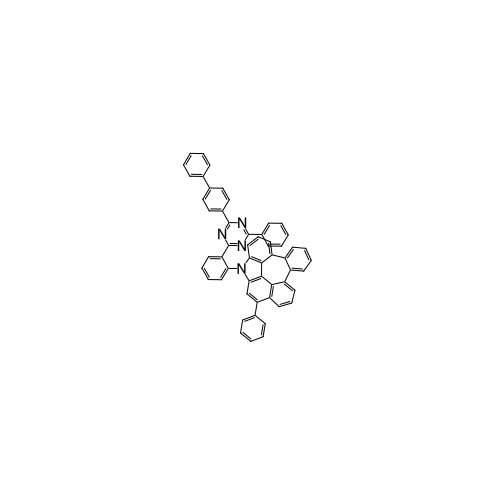 c1ccc(-c2ccc(-c3nc(-c4ccccc4)nc(-c4ccccc4-n4c5cccc6c5c5c7c(cccc7c(-c7ccccc7)cc54)-c4ccccc4-6)n3)cc2)cc1